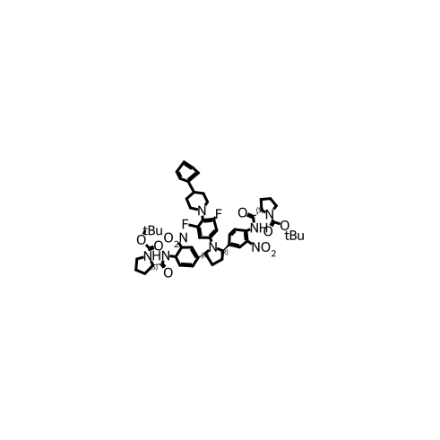 CC(C)(C)OC(=O)N1CCC[C@H]1C(=O)Nc1ccc([C@H]2CC[C@H](C3=CC([N+](=O)[O-])C(NC(=O)[C@@H]4CCCN4C(=O)OC(C)(C)C)C=C3)N2c2cc(F)c(N3CCC(c4ccccc4)CC3)c(F)c2)cc1[N+](=O)[O-]